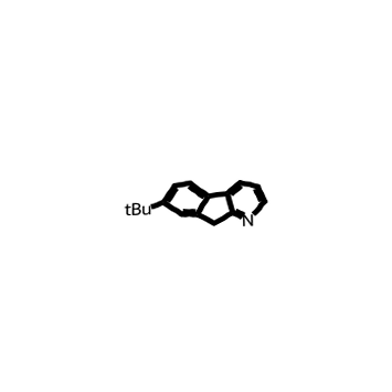 CC(C)(C)c1ccc2c(c1)Cc1ncccc1-2